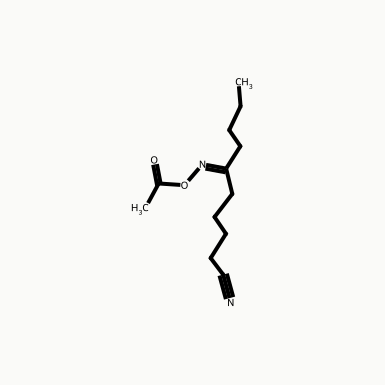 CCCCC(CCCCC#N)=NOC(C)=O